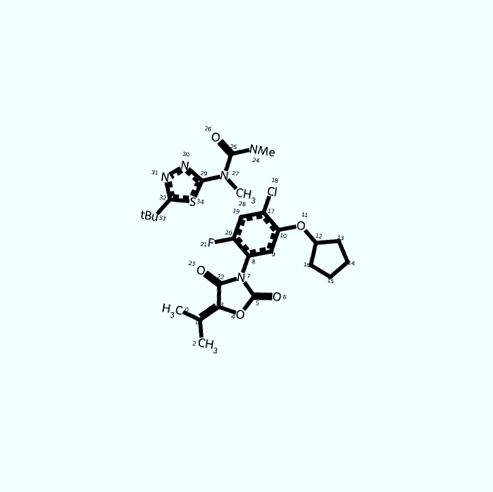 CC(C)=C1OC(=O)N(c2cc(OC3CCCC3)c(Cl)cc2F)C1=O.CNC(=O)N(C)c1nnc(C(C)(C)C)s1